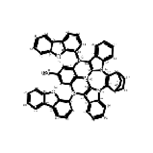 CC(C)(C)c1cc2c3c(c1)B(c1cccc4c1oc1ccccc14)c1c4ccccc4n4c5c(n6c7ccccc7c(c6n-3c14)B2c1cccc2c1oc1ccccc12)C1CCC5CC1